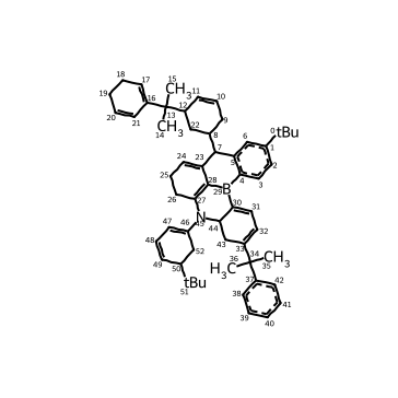 CC(C)(C)c1ccc2c(c1)C(C1CC=CC(C(C)(C)C3=CCCC=C3)C1)C1=CCCC3=C1B2C1=CC=C(C(C)(C)c2ccccc2)CC1N3C1=CC=CC(C(C)(C)C)C1